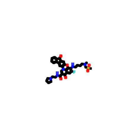 CN(CCCCNc1c(F)cc2c(=O)c(C(=O)NCCN3CCCC3)cn3c4cc5c(cc4oc1c23)c(=O)c1ccccc15)CS(C)(=O)=O